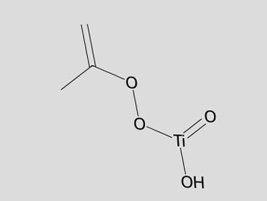 C=C(C)O[O][Ti](=[O])[OH]